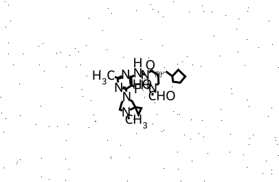 Cc1nc(NNC(=O)[C@H](CC2CCCC2)CN(O)C=O)c(F)c(N2CCN(C)C3(CC3)C2)n1